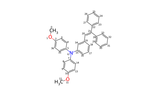 COc1ccc(N(c2ccc(OC)cc2)c2cccc(C=C(c3ccccc3)c3ccccc3)c2)cc1